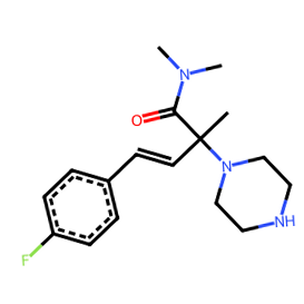 CN(C)C(=O)C(C)(/C=C/c1ccc(F)cc1)N1CCNCC1